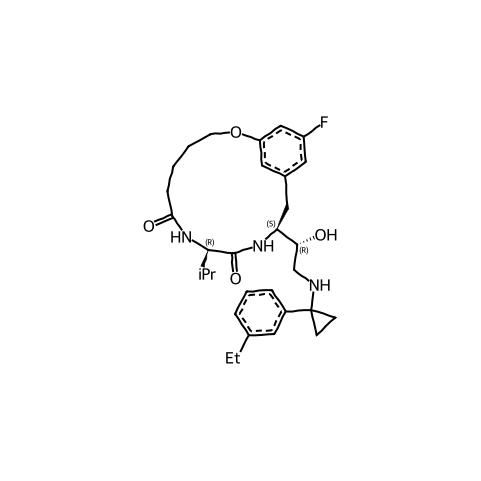 CCc1cccc(C2(NC[C@@H](O)[C@@H]3Cc4cc(F)cc(c4)OCCCCC(=O)N[C@H](C(C)C)C(=O)N3)CC2)c1